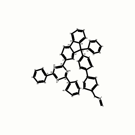 C=NCc1ccc(-c2ccc(C3(c4ccccc4)c4ccccc4-c4ccc(-c5nc(-c6ccccc6)nc(-c6ccccc6)n5)cc43)cc2)cc1